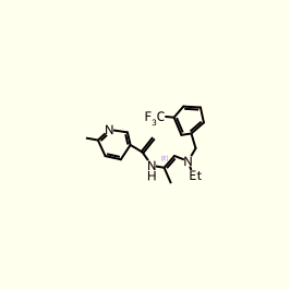 C=C(N/C(C)=C/N(CC)Cc1cccc(C(F)(F)F)c1)c1ccc(C)nc1